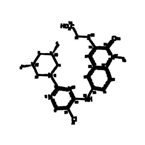 C[C@@H]1C[C@H](C)CN(c2ncc(Cl)c(Nc3ccc4c(c3)cc(SCC(=O)O)c(=O)n4C)n2)C1